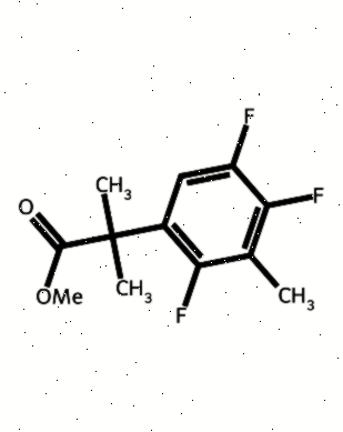 COC(=O)C(C)(C)c1cc(F)c(F)c(C)c1F